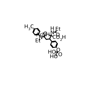 CCC(=O)NC(NC(C)=O)(C(=O)O)C(CC(=O)N(CC)c1ccc(C)cc1)c1ccc(OP(=O)(O)O)cc1